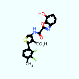 Cc1ccc(-c2scc(NC(=O)c3nc4cccc(O)c4o3)c2C(=O)O)c(F)c1F